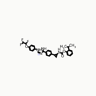 CC(C)c1ccccc1OC(=O)NC1CC1c1ccc(C(=N)/N=C\Nc2ccc(OC(F)C(F)F)cc2)cc1